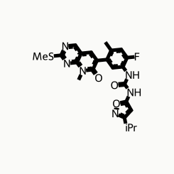 CSc1ncc2cc(-c3cc(NC(=O)Nc4cc(C(C)C)no4)c(F)cc3C)c(=O)n(C)c2n1